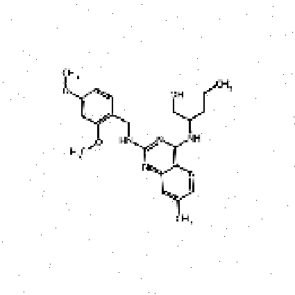 CCCC(CO)Nc1nc(NCc2ccc(OC)cc2OC)nc2cc(C)cnc12